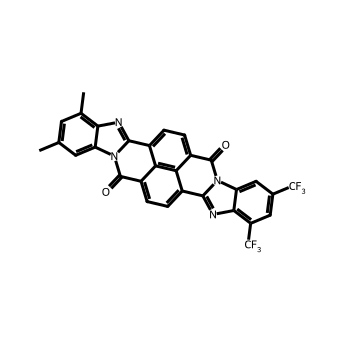 Cc1cc(C)c2nc3c4ccc5c(=O)n6c7cc(C(F)(F)F)cc(C(F)(F)F)c7nc6c6ccc(c(=O)n3c2c1)c4c56